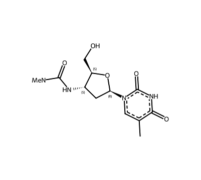 CNC(=O)N[C@H]1C[C@H](n2cc(C)c(=O)[nH]c2=O)O[C@@H]1CO